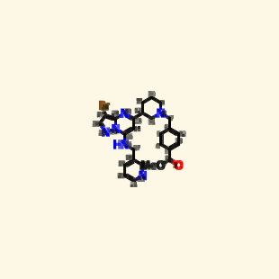 COC(=O)c1ccc(CN2CCCC(c3cc(NCc4cccnc4)n4ncc(Br)c4n3)C2)cc1